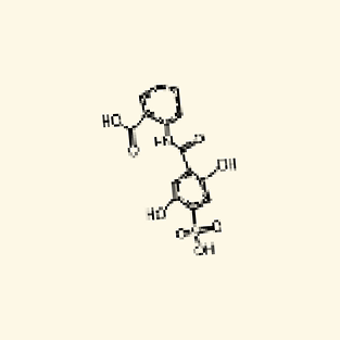 O=C(Nc1ccccc1C(=O)O)c1cc(O)c(S(=O)(=O)O)cc1O